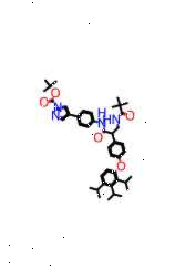 CC(C)c1ccc(Oc2ccc(C(CNC(=O)C(C)(C)C)C(=O)Nc3ccc(-c4cnn(C(=O)OC(C)(C)C)c4)cc3)cc2)c(C(C)C)c1C(C)C